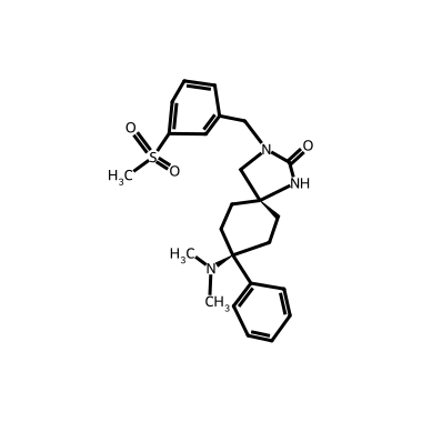 CN(C)[C@]1(c2ccccc2)CC[C@@]2(CC1)CN(Cc1cccc(S(C)(=O)=O)c1)C(=O)N2